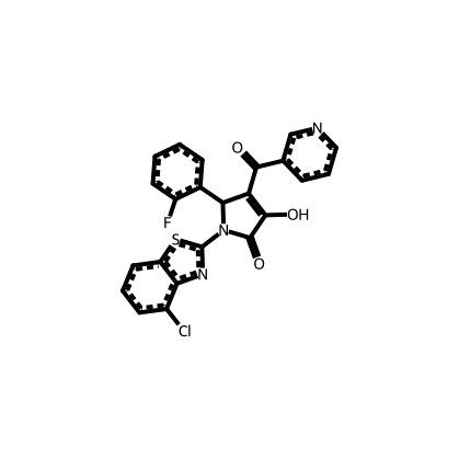 O=C(C1=C(O)C(=O)N(c2nc3c(Cl)cccc3s2)C1c1ccccc1F)c1cccnc1